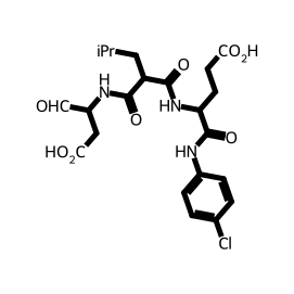 CC(C)CC(C(=O)NC(C=O)CC(=O)O)C(=O)NC(CCC(=O)O)C(=O)Nc1ccc(Cl)cc1